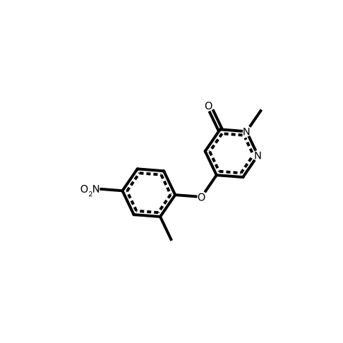 Cc1cc([N+](=O)[O-])ccc1Oc1cnn(C)c(=O)c1